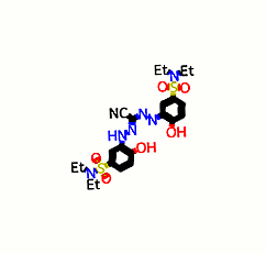 CCN(CC)S(=O)(=O)c1ccc(O)c(N=NC(C#N)=NNc2cc(S(=O)(=O)N(CC)CC)ccc2O)c1